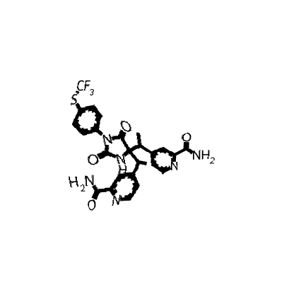 CC(c1ccnc(C(N)=O)c1)C1(C(C)c2ccnc(C(N)=O)c2)NC(=O)N(c2ccc(SC(F)(F)F)cc2)C1=O